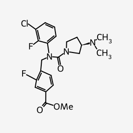 COC(=O)c1ccc(CN(C(=O)N2CC[C@@H](N(C)C)C2)c2cccc(Cl)c2F)c(F)c1